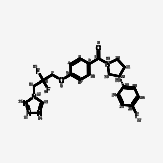 O=C(c1ccc(OCC(F)(F)Cn2cnnn2)cc1)N1CC[C@H](c2ccc(F)cc2)C1